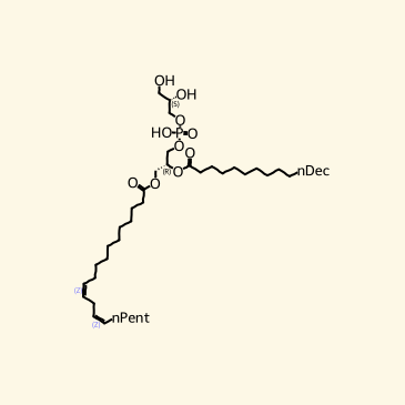 CCCCC/C=C\C/C=C\CCCCCCCCCC(=O)OC[C@H](COP(=O)(O)OC[C@@H](O)CO)OC(=O)CCCCCCCCCCCCCCCCCCC